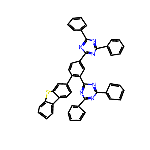 c1ccc(-c2nc(-c3ccccc3)nc(-c3ccc(-c4ccc5c(c4)sc4ccccc45)c(-c4nc(-c5ccccc5)nc(-c5ccccc5)n4)c3)n2)cc1